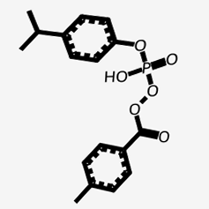 Cc1ccc(C(=O)OOP(=O)(O)Oc2ccc(C(C)C)cc2)cc1